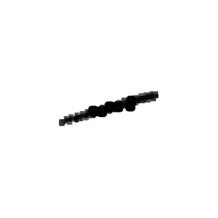 CCCCCCCCCCCOCCOCCOCCOCCCC(=O)OCCCCCCCC